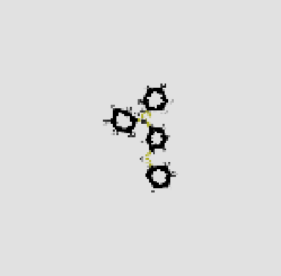 c1ccc(Sc2cccc([S+](c3ccccc3)c3ccccc3)c2)cc1